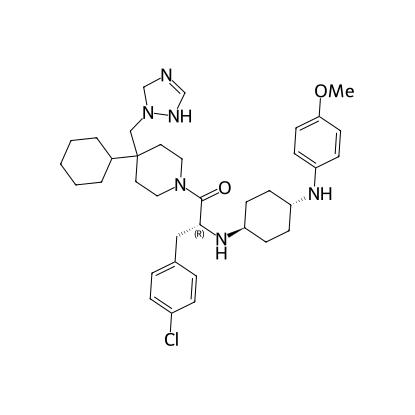 COc1ccc(N[C@H]2CC[C@H](N[C@H](Cc3ccc(Cl)cc3)C(=O)N3CCC(CN4CN=CN4)(C4CCCCC4)CC3)CC2)cc1